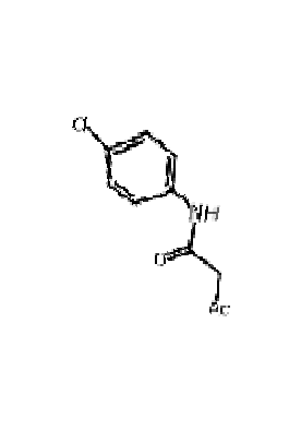 CC(=O)CC(=O)Nc1ccc(Cl)cc1